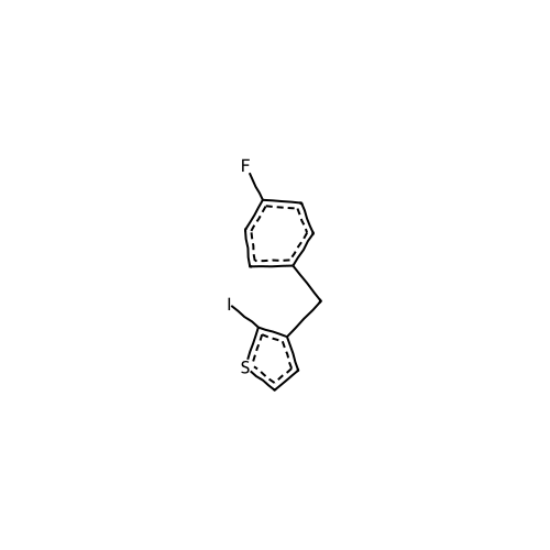 Fc1ccc(Cc2ccsc2I)cc1